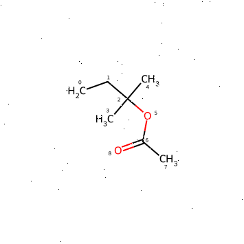 [CH2]CC(C)(C)OC(C)=O